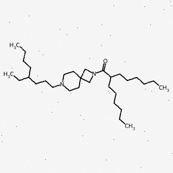 CCCCCCC(CCCCCC)C(=O)N1CC2(CCN(CCCC(CC)CCCC)CC2)C1